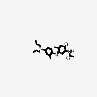 CCCN(CCC)c1ccc(N=C2C=C(NC(C)=O)C(=O)C=C2C)c(C)c1